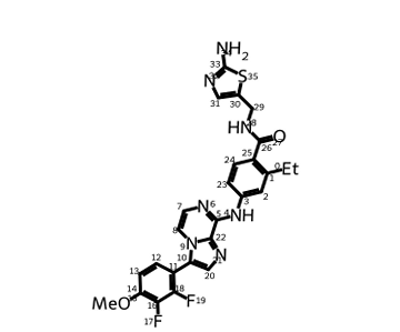 CCc1cc(Nc2nccn3c(-c4ccc(OC)c(F)c4F)cnc23)ccc1C(=O)NCc1cnc(N)s1